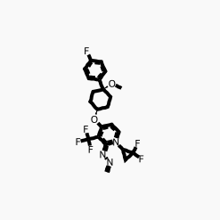 C=N/N=c1/c(C(F)(F)F)c(O[C@H]2CC[C@](OC)(c3ccc(F)cc3)CC2)ccn1C1CC1(F)F